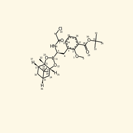 COc1c(C[C@H](NC(=O)CCl)B2O[C@@H]3C[C@@H]4C[C@@H](C4(C)C)[C@]3(C)O2)cccc1C(=O)OC(C)(C)C